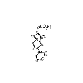 CCOC(=O)Cc1nc2ccc(N3CCOCC3)cn2c1C